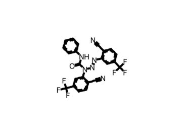 N#Cc1ccc(C(F)(F)F)cc1N=NN(C(=O)Nc1ccccc1)c1cc(C(F)(F)F)ccc1C#N